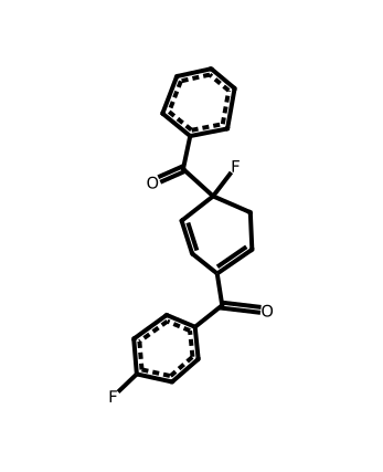 O=C(C1=CCC(F)(C(=O)c2ccccc2)C=C1)c1ccc(F)cc1